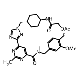 COc1cc(CNC(=O)c2cc(-c3ncn(C[C@H]4CC[C@H](NC(=O)COC(C)=O)CC4)n3)nc(C)n2)ccc1F